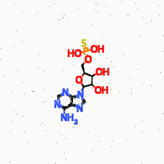 Nc1ncnc2c1ncn2[C@H]1O[C@@H](COP(O)(O)=S)C(O)C1O